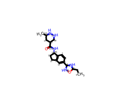 CCC1NC(c2ccc3c(c2)CC[C@H]3NC(=O)C2CNNC(C)C2)NO1